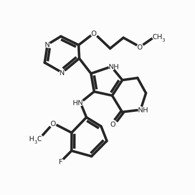 COCCOc1cncnc1-c1[nH]c2c(c1Nc1cccc(F)c1OC)C(=O)NCC2